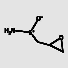 N[S+]([O-])CC1CO1